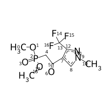 COP(=O)(CC(=O)c1cn(C)nc1C(F)(F)F)OC